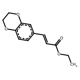 CCOC(=O)C=Cc1ccc2c(c1)OCCO2